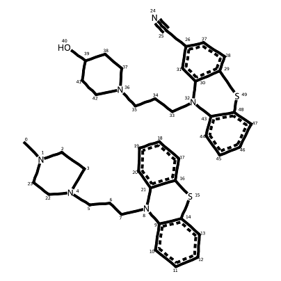 CN1CCN(CCCN2c3ccccc3Sc3ccccc32)CC1.N#Cc1ccc2c(c1)N(CCCN1CCC(O)CC1)c1ccccc1S2